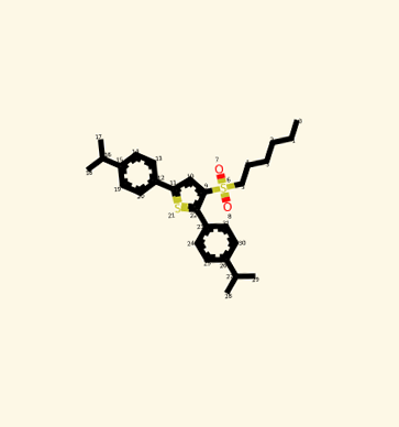 CCCCCCS(=O)(=O)c1cc(-c2ccc(C(C)C)cc2)sc1-c1ccc(C(C)C)cc1